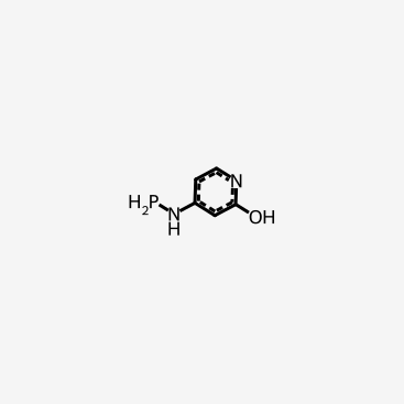 Oc1cc(NP)ccn1